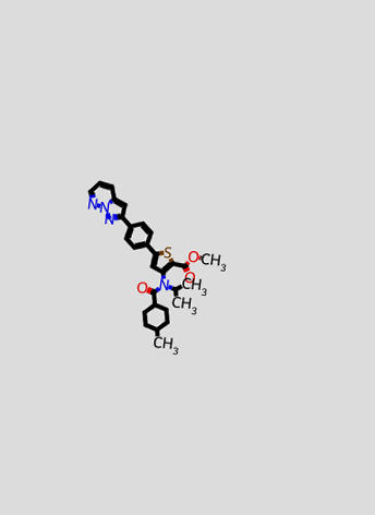 COC(=O)c1sc(-c2ccc(-c3cc4cccnn4n3)cc2)cc1N(C(=O)C1CCC(C)CC1)C(C)C